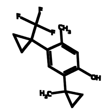 Cc1cc(O)c(C2(C)CC2)cc1C1(C(F)(F)F)CC1